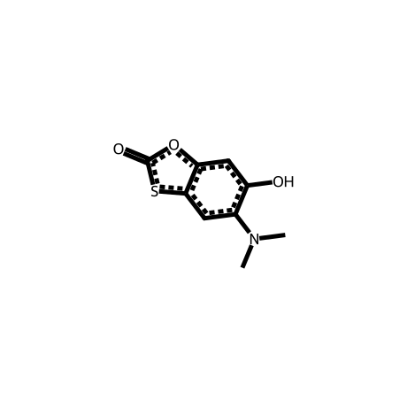 CN(C)c1cc2sc(=O)oc2cc1O